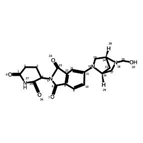 O=C1CCC(N2C(=O)c3ccc(N4C[C@H]5C[C@@H]4CN5CO)cc3C2=O)C(=O)N1